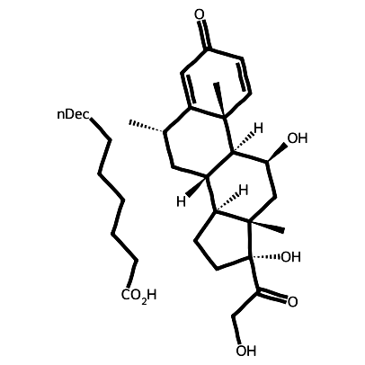 CCCCCCCCCCCCCCCC(=O)O.C[C@H]1C[C@@H]2[C@H]([C@@H](O)C[C@@]3(C)[C@H]2CC[C@]3(O)C(=O)CO)[C@@]2(C)C=CC(=O)C=C12